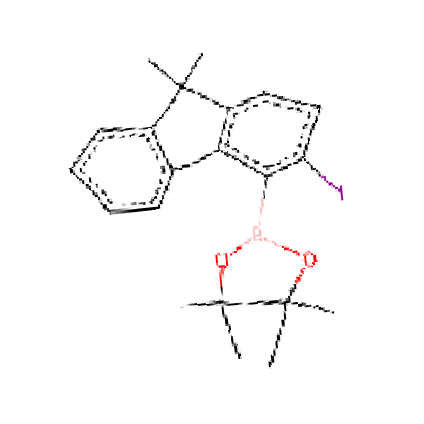 CC1(C)c2ccccc2-c2c1ccc(I)c2B1OC(C)(C)C(C)(C)O1